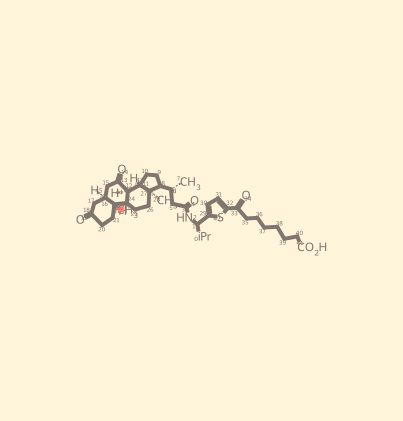 CC(C)C(NC(=O)C[C@@H](C)C1CC[C@H]2[C@@H]3C(=O)C[C@@H]4CC(=O)CC[C@]4(C)[C@H]3CC[C@]12C)c1ccc(C(=O)CCCCCCC(=O)O)s1